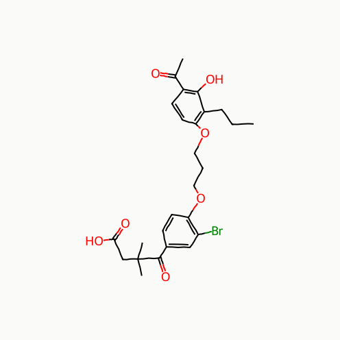 CCCc1c(OCCCOc2ccc(C(=O)C(C)(C)CC(=O)O)cc2Br)ccc(C(C)=O)c1O